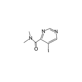 CN(C)C(=O)c1ncncc1I